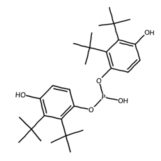 CC(C)(C)c1c(O)ccc(OP(O)Oc2ccc(O)c(C(C)(C)C)c2C(C)(C)C)c1C(C)(C)C